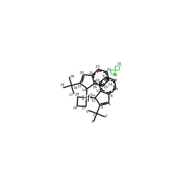 CC(C)(C)C1=Cc2ccccc2[CH]1[Hf+2]1([CH]2C(C(C)(C)C)=Cc3ccccc32)[CH2]C[CH2]1.[Cl-].[Cl-]